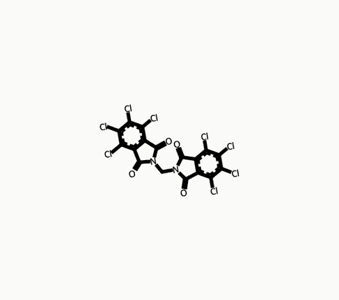 O=C1c2c(Cl)c(Cl)c(Cl)c(Cl)c2C(=O)N1CN1C(=O)c2c(Cl)c(Cl)c(Cl)c(Cl)c2C1=O